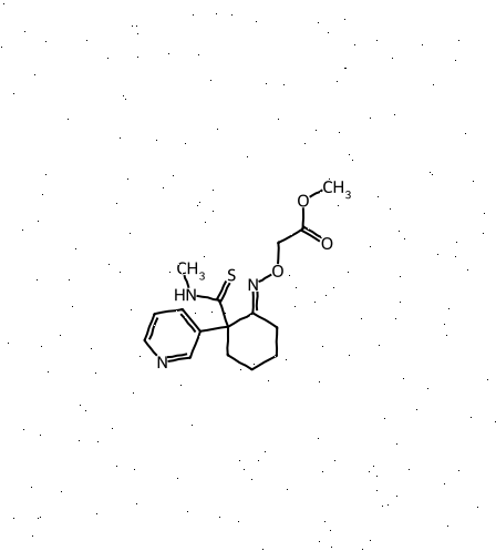 CNC(=S)C1(c2cccnc2)CCCC/C1=N\OCC(=O)OC